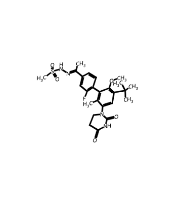 COc1c(C(C)(C)C)cc(N2CCC(=O)NC2=O)c(C)c1-c1ccc(C(C)=NNS(C)(=O)=O)cc1F